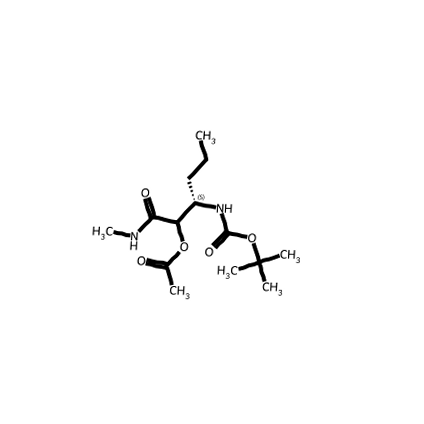 CCC[C@H](NC(=O)OC(C)(C)C)C(OC(C)=O)C(=O)NC